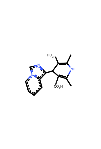 CC1=C(C(=O)O)C(c2ncn3ccccc23)C(C(=O)O)=C(C)N1